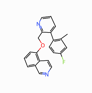 Cc1cc(F)ccc1-c1cccnc1COc1cccc2cnccc12